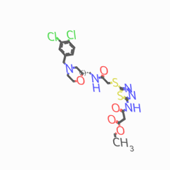 CCOC(=O)CC(=O)Nc1nnc(SCC(=O)NC[C@H]2CN(Cc3ccc(Cl)c(Cl)c3)CCO2)s1